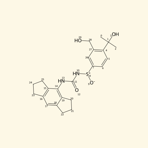 CC(C)(O)c1ccc([S+]([O-])NC(=O)Nc2c3c(cc4c2CCC4)CCC3)cc1CO